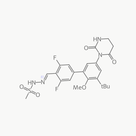 COc1c(-c2cc(F)c(/C=N/NS(C)(=O)=O)c(F)c2)cc(N2C(=O)CCNC2=O)cc1C(C)(C)C